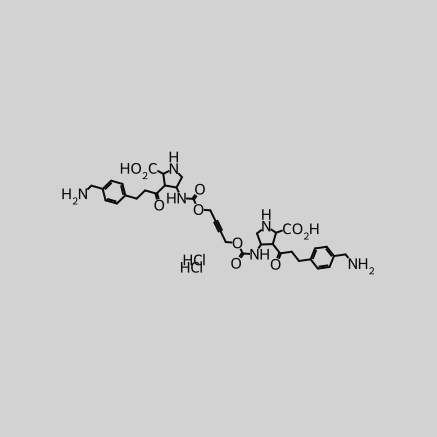 Cl.Cl.NCc1ccc(CCC(=O)C2C(NC(=O)OCC#CCOC(=O)NC3CNC(C(=O)O)C3C(=O)CCc3ccc(CN)cc3)CNC2C(=O)O)cc1